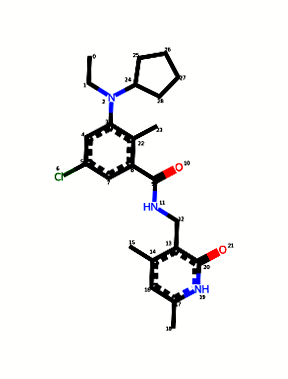 CCN(c1cc(Cl)cc(C(=O)NCc2c(C)cc(C)[nH]c2=O)c1C)C1CCCC1